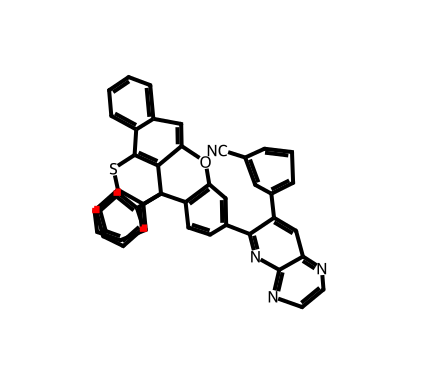 N#Cc1cccc(-c2cc3nccnc3nc2-c2ccc3c(c2)Oc2cc4ccccc4c4c2C3(c2ccccc2)c2ccccc2S4)c1